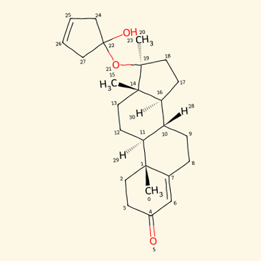 C[C@]12CCC(=O)C=C1CC[C@@H]1[C@@H]2CC[C@@]2(C)[C@H]1CC[C@]2(C)OC1(O)CC=CC1